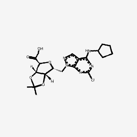 CC1(C)O[C@@H]2[C@H](O1)[C@@H](C(=O)O)O[C@@H]2Cn1ncc2c(NC3CCCC3)nc(Cl)nc21